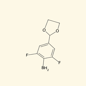 Bc1c(F)cc(C2OCCO2)cc1F